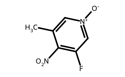 Cc1c[n+]([O-])cc(F)c1[N+](=O)[O-]